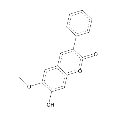 COc1cc2cc(-c3ccccc3)c(=O)oc2cc1O